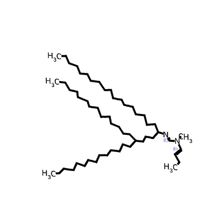 CC/C=C/N(C)/C=N/C(CCCCCCCCCCCCCCCCCC)CCCC(CCCCCCCCCCCCCC)CCCCCCCCCCCCCC